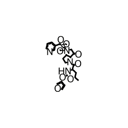 CCCC(NC(=O)Oc1ccoc1)C(=O)N1CCC2C1C(=O)CN2S(=O)(=O)C(=O)c1cccnc1